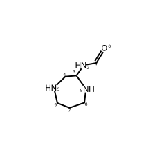 O=[C]NC1CNCCCN1